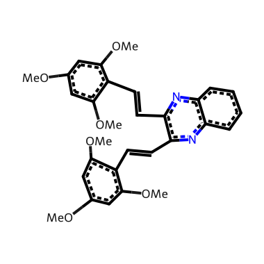 COc1cc(OC)c(C=Cc2nc3ccccc3nc2C=Cc2c(OC)cc(OC)cc2OC)c(OC)c1